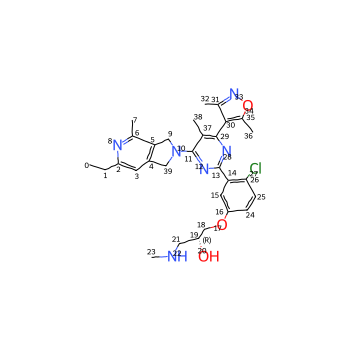 CCc1cc2c(c(C)n1)CN(c1nc(-c3cc(OC[C@H](O)CNC)ccc3Cl)nc(-c3c(C)noc3C)c1C)C2